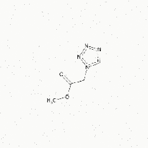 COC(=O)Cn1cnnn1